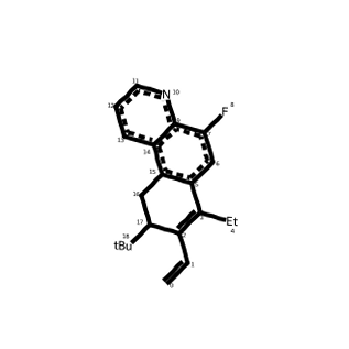 C=CC1=C(CC)c2cc(F)c3ncccc3c2CC1C(C)(C)C